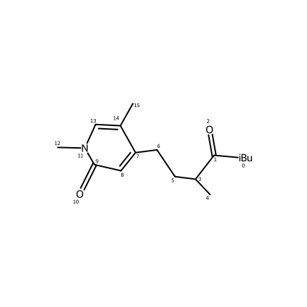 CCC(C)C(=O)C(C)CCc1cc(=O)n(C)cc1C